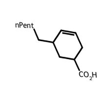 CCCCCCC1C=CCC(C(=O)O)C1